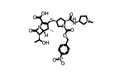 CC(O)[C@H]1C(=O)N2C(C(=O)O)=C(S[C@H]3C[C@@H](C(=O)N[C@H]4CCN(C)C4)N(C(=O)OCc4ccc([N+](=O)[O-])cc4)C3)[C@H](C)[C@H]12